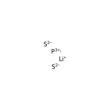 [Li+].[P+3].[S-2].[S-2]